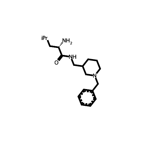 CC(C)C[C@H](N)C(=O)NCC1CCCN(Cc2ccccc2)C1